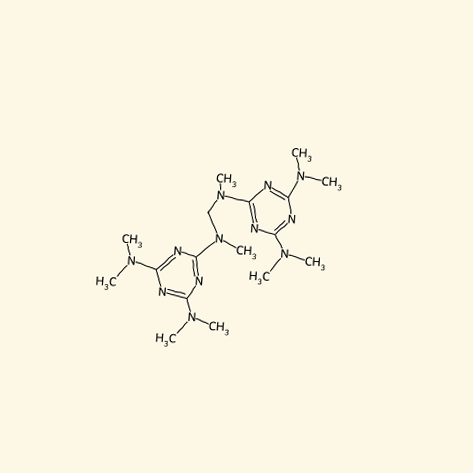 CN(C)c1nc(N(C)C)nc(N(C)CN(C)c2nc(N(C)C)nc(N(C)C)n2)n1